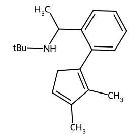 CC1=CCC(c2ccccc2C(C)NC(C)(C)C)=C1C